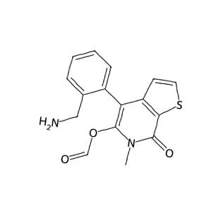 Cn1c(OC=O)c(-c2ccccc2CN)c2ccsc2c1=O